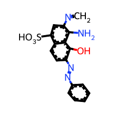 C=Nc1cc(S(=O)(=O)O)c2ccc(N=Nc3ccccc3)c(O)c2c1N